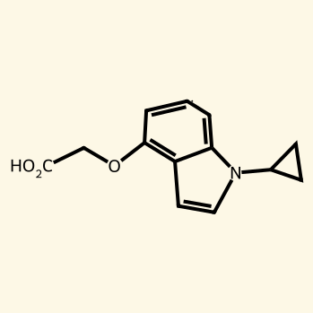 O=C(O)COc1c[c]cc2c1ccn2C1CC1